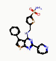 NS(=O)(=O)c1ccc(CNc2nc(-c3cccnc3)nc3scc(-c4ccccc4)c23)s1